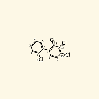 Clc1ccccc1-c1ccc(Cl)c(Cl)c1Cl